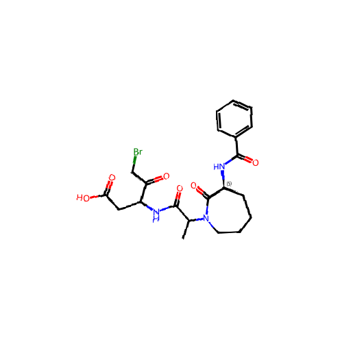 CC(C(=O)NC(CC(=O)O)C(=O)CBr)N1CCCC[C@H](NC(=O)c2ccccc2)C1=O